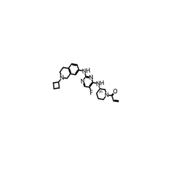 C=CC(=O)N1CCC[C@@H](Nc2nc(Nc3ccc4c(c3)CN(C3CCC3)CC4)ncc2F)C1